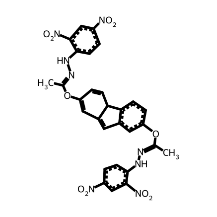 CC(=NNc1ccc([N+](=O)[O-])cc1[N+](=O)[O-])OC1=CC2=Cc3cc(OC(C)=NNc4ccc([N+](=O)[O-])cc4[N+](=O)[O-])ccc3C2C=C1